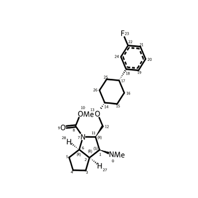 CN[C@H]1[C@H]2CCC[C@H]2N(C(=O)OC)[C@H]1CO[C@H]1CC[C@@H](c2cccc(F)c2)CC1